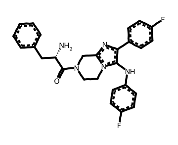 N[C@@H](Cc1ccccc1)C(=O)N1CCn2c(nc(-c3ccc(F)cc3)c2Nc2ccc(F)cc2)C1